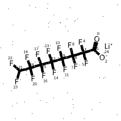 O=C([O-])C(F)(F)C(F)(F)C(F)(F)C(F)(F)C(F)(F)C(F)(F)C(F)F.[Li+]